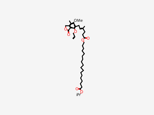 [CH2]C([CH2])OC(=O)CCCCCCCCCCCCCCCCCOC(=O)CC/C(C)=C/Cc1c(OC)c(C)c2c(c1OCC=C)C(=O)OC2